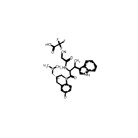 CC(c1c[nH]c2ccccc12)C(NC(=O)CC#N)C(=O)N1C[C@@H](CN(C)C)Cc2cc(Cl)ccc21.O=C(O)C(F)(F)F